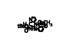 CC(NC(=O)OC(C)(C)C)c1nc2cccc(S(C)(=O)=O)c2c(=O)n1-c1cccnc1